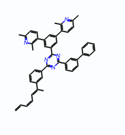 C=C/C=C\C=C(/C)c1cccc(-c2nc(-c3cccc(-c4ccccc4)c3)nc(-c3cc(-c4ccc(C)nc4C)cc(-c4ccc(C)nc4C)c3)n2)c1